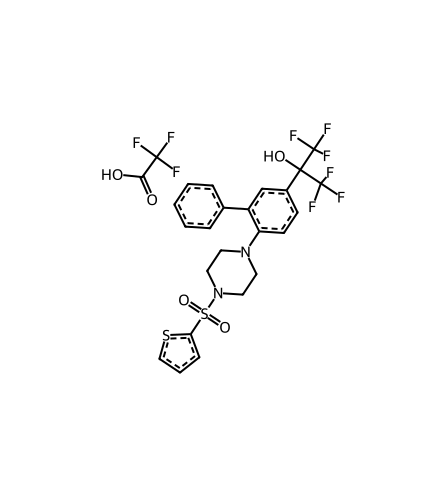 O=C(O)C(F)(F)F.O=S(=O)(c1cccs1)N1CCN(c2ccc(C(O)(C(F)(F)F)C(F)(F)F)cc2-c2ccccc2)CC1